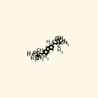 CC(C)[Si](CCc1ccc2c(c1)Cc1cc(CC[Si](C(C)C)(C(C)C)C(C)C)ccc1-2)(C(C)C)C(C)C